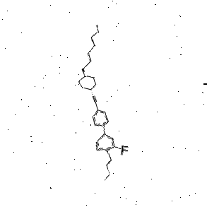 CCCCCCC[C@H]1CC[C@H](C#Cc2ccc(-c3ccc(CCCC)c(F)c3)cc2)CC1